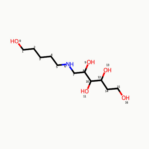 OCCCCCNCC(O)C(O)C(O)CCO